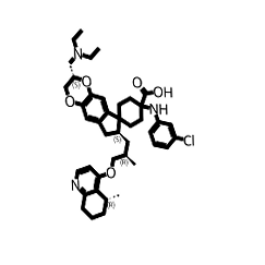 CCN(CC)C[C@H]1COc2cc3c(cc2O1)C1(CCC(Nc2cccc(Cl)c2)(C(=O)O)CC1)[C@@H](C[C@@H](C)COc1ccnc2c1[C@H](C)CCC2)C3